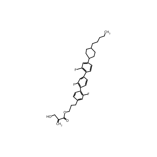 C=C(CO)C(=O)OCCCc1ccc(-c2ccc(-c3ccc(C4CCC(CCCCC)CC4)cc3F)cc2F)c(F)c1